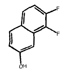 Oc1ccc2ccc(F)c(F)c2c1